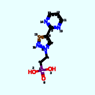 O=P(O)(O)CC[n+]1cc(-c2ncccn2)sn1